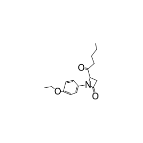 CCCCC(=O)C1CC(=O)N1c1ccc(OCC)cc1